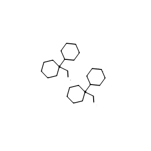 O.OCC1(C2CCCCC2)CCCCC1.OCC1(C2CCCCC2)CCCCC1